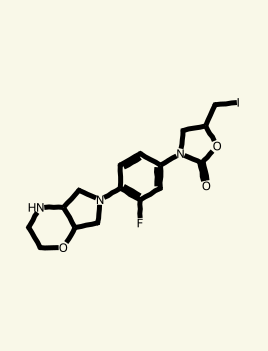 O=C1OC(CI)CN1c1ccc(N2CC3NCCOC3C2)c(F)c1